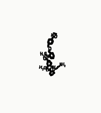 COc1cc(C(=O)N(C)c2ccccc2COCc2ccc(C3=NCCO3)cc2)ccc1NC(=O)c1ccccc1OCCCN